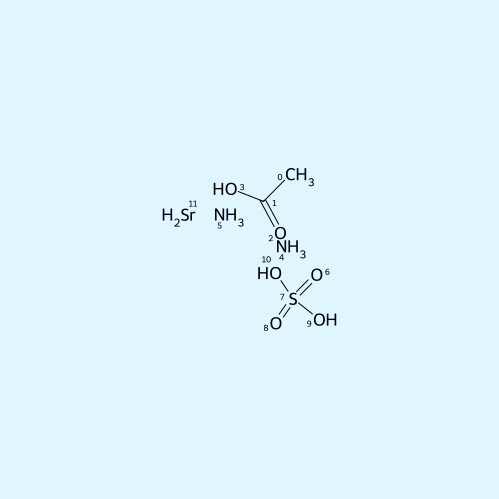 CC(=O)O.N.N.O=S(=O)(O)O.[SrH2]